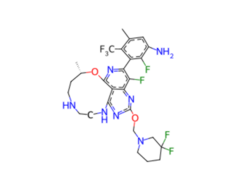 Cc1cc(N)c(F)c(-c2nc3c4c(nc(OCN5CCCC(F)(F)C5)nc4c2F)NCCNCC[C@H](C)O3)c1C(F)(F)F